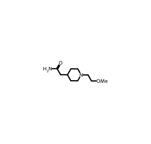 COCCN1CCC(CC(N)=O)CC1